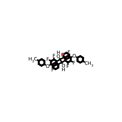 Cc1ccc(Oc2c(F)c(F)c(C(O)(c3ccccc3)C(O)(c3ccccc3)c3c(F)c(F)c(Oc4ccc(C)cc4)c(F)c3F)c(F)c2F)cc1